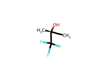 [CH2][C@](C)(O)C(F)(F)F